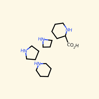 C1CCNC1.C1CCNCC1.C1CNC1.O=C(O)C1CCCCN1